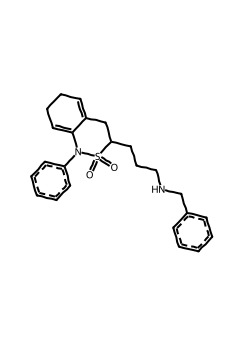 O=S1(=O)C(CCCNCc2ccccc2)CC2=CCCC=C2N1c1ccccc1